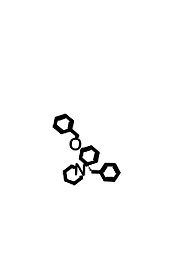 C1=C[C@@](Cc2ccccc2)(N2CCCCC2)CC(OCc2ccccc2)=C1